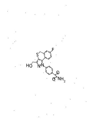 NS(=O)(=O)c1ccc(-n2nc(CO)c3c2-c2ccc(F)cc2CS3)cc1